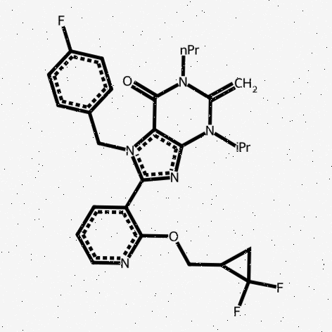 C=C1N(CCC)C(=O)c2c(nc(-c3cccnc3OCC3CC3(F)F)n2Cc2ccc(F)cc2)N1C(C)C